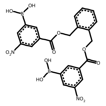 O=C(OCc1ccccc1COC(=O)c1cc(B(O)O)cc([N+](=O)[O-])c1)c1cc(B(O)O)cc([N+](=O)[O-])c1